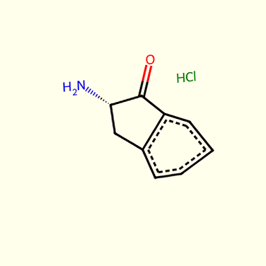 Cl.N[C@H]1Cc2ccccc2C1=O